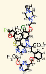 Cc1c(-c2c(-c3ccc(F)o3)sc3ncnc(NC(Cc4ccccc4OCc4ccnc(OCC(F)(F)F)n4)C(=O)O)c23)ccc(OCCN2CCN(C)CC2)c1Cl